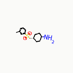 Cc1cccc(S(=O)(=O)C[C@H]2CC[C@H](N)CC2)c1